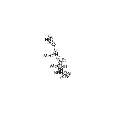 CCc1cc(Nc2ncc(Br)c(Nc3ccc4nccnc4c3P(C)(C)=O)n2)c(OC)cc1N1CCC(N2CCN(CCc3ccc(C4CCC(=O)NC4=O)c(F)c3)C[C@H]2COC)CC1